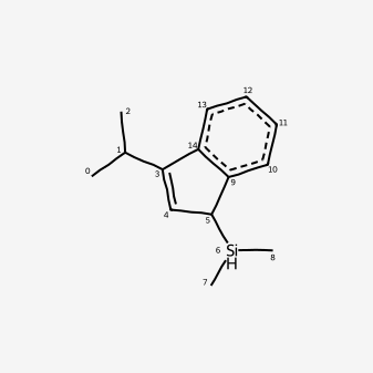 CC(C)C1=CC([SiH](C)C)c2ccccc21